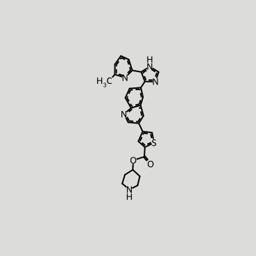 Cc1cccc(-c2[nH]cnc2-c2ccc3ncc(-c4csc(C(=O)OC5CCNCC5)c4)cc3c2)n1